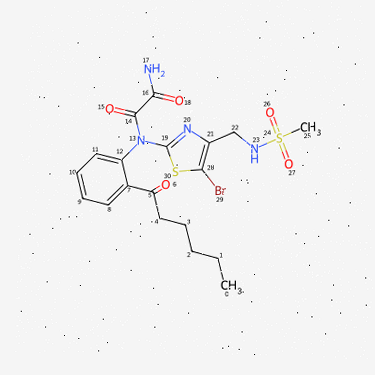 CCCCCC(=O)c1ccccc1N(C(=O)C(N)=O)c1nc(CNS(C)(=O)=O)c(Br)s1